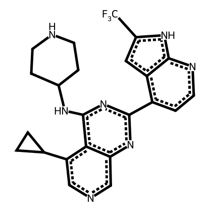 FC(F)(F)c1cc2c(-c3nc(NC4CCNCC4)c4c(C5CC5)cncc4n3)ccnc2[nH]1